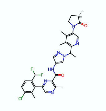 Cc1ncc(-c2c(C(F)F)ccc(Cl)c2C)nc1C(=O)Nc1cnn(C(C)c2ncc(N3CC[C@H](C)C3=O)c(C)c2C)c1